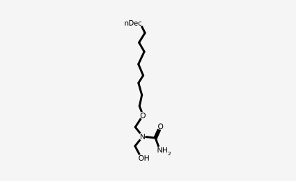 CCCCCCCCCCCCCCCCCCOCN(CO)C(N)=O